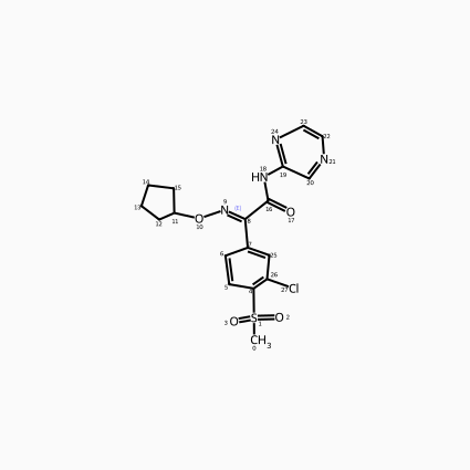 CS(=O)(=O)c1ccc(/C(=N\OC2CCCC2)C(=O)Nc2cnccn2)cc1Cl